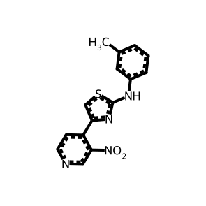 Cc1cccc(Nc2nc(-c3ccncc3[N+](=O)[O-])cs2)c1